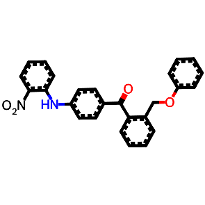 O=C(c1ccc(Nc2ccccc2[N+](=O)[O-])cc1)c1ccccc1COc1ccccc1